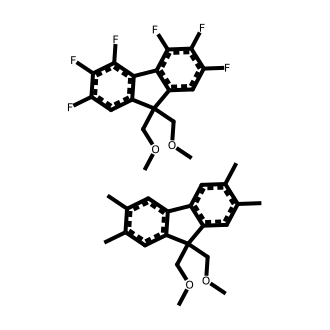 COCC1(COC)c2cc(C)c(C)cc2-c2cc(C)c(C)cc21.COCC1(COC)c2cc(F)c(F)c(F)c2-c2c1cc(F)c(F)c2F